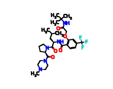 CC(C)C[C@@H](NC(=O)c1ccc(C(F)(F)F)cc1OCC(=O)NC(C)(C)C)C(=O)N1CCC[C@@H]1C(=O)N1CCN(C)CC1